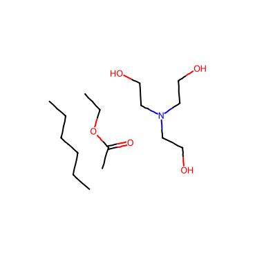 CCCCCC.CCOC(C)=O.OCCN(CCO)CCO